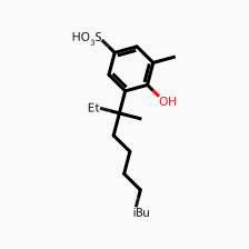 CCC(C)CCCCC(C)(CC)c1cc(S(=O)(=O)O)cc(C)c1O